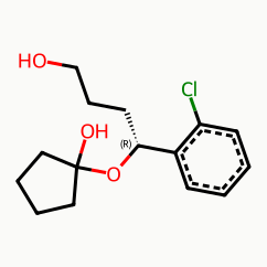 OCCC[C@@H](OC1(O)CCCC1)c1ccccc1Cl